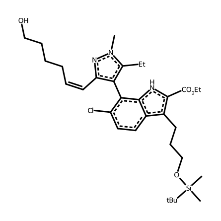 CCOC(=O)c1[nH]c2c(-c3c(/C=C\CCCCO)nn(C)c3CC)c(Cl)ccc2c1CCCO[Si](C)(C)C(C)(C)C